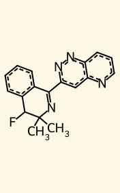 CC1(C)N=C(c2cc3ncccc3nn2)c2ccccc2C1F